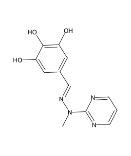 CN(/N=C/c1cc(O)c(O)c(O)c1)c1ncccn1